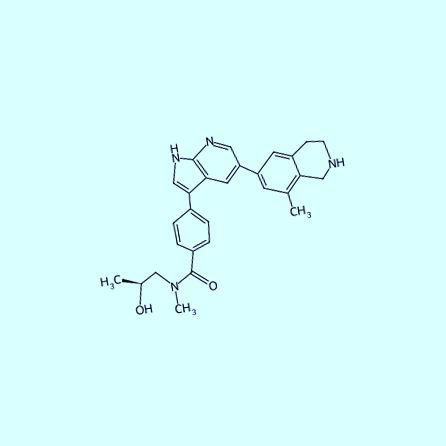 Cc1cc(-c2cnc3[nH]cc(-c4ccc(C(=O)N(C)C[C@H](C)O)cc4)c3c2)cc2c1CNCC2